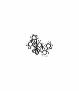 O=S1(=O)N=c2c(-n3c4ccccc4c4ccccc43)ccc(-n3c4ccccc4c4ccccc43)c2=N1